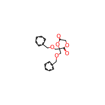 O=C1COC(=O)C(COCc2ccccc2)(COCc2ccccc2)O1